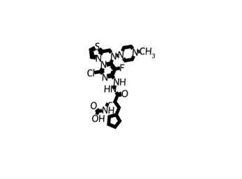 CN1CCN(N(Cc2nccs2)c2nc(Cl)nc(NNC(=O)[C@@H](CNC(=O)O)CC3CCCC3)c2F)CC1